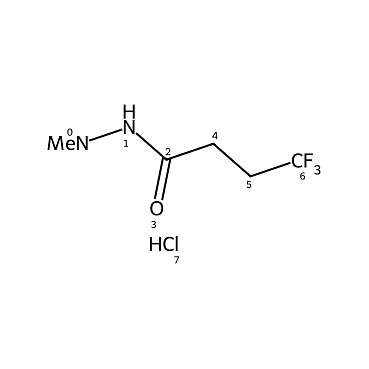 CNNC(=O)CCC(F)(F)F.Cl